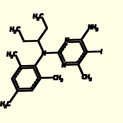 CCC(CC)N(c1nc(C)c(I)c(N)n1)c1c(C)cc(C)cc1C